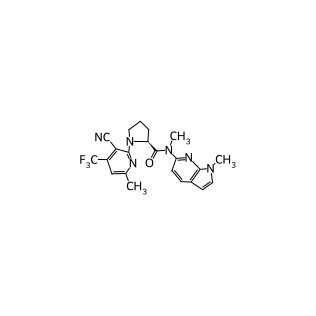 Cc1cc(C(F)(F)F)c(C#N)c(N2CCC[C@H]2C(=O)N(C)c2ccc3ccn(C)c3n2)n1